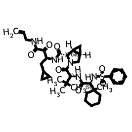 C=CCNC(=O)C(=O)C(CC1CC1)NC(=O)[C@@H]1[C@H]2C[C@H]2CN1C(=O)[C@@H](NC(=O)[C@@H](NS(=O)(=O)c1ccccc1)C1(C)CCCCC1)C(C)(C)C